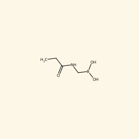 CCC(=O)NCB(O)O